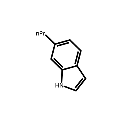 CCCc1ccc2cc[nH]c2c1